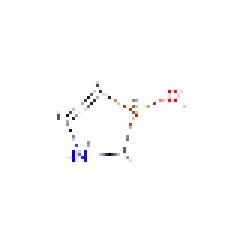 [O-][S+]1C=CNC1